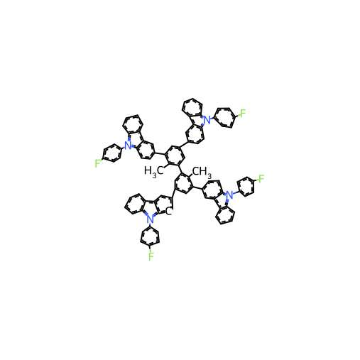 Cc1c(-c2ccc3c(c2)c2ccccc2n3-c2ccc(F)cc2)cc(-c2ccc3c(c2)c2ccccc2n3-c2ccc(F)cc2)cc1-c1cc(-c2ccc3c(c2)c2ccccc2n3-c2ccc(F)cc2)cc(-c2ccc3c(c2)c2ccccc2n3-c2ccc(F)cc2)c1C